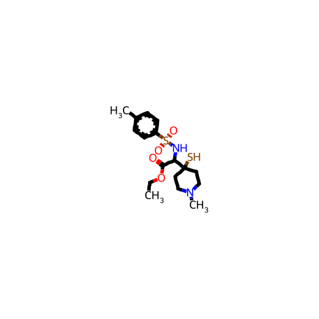 CCOC(=O)C(NS(=O)(=O)c1ccc(C)cc1)C1(S)CCN(C)CC1